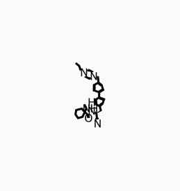 CCCN1CCN(Cc2ccc(-c3ccc(C[C@@H](C#N)NC(=O)C4(NC)CCCCC4)cc3)cc2)CC1